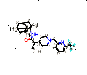 CCC(C(=O)NC1[C@H]2CC3C[C@H](C2)C[C@H]1C3)C1CCN(Cc2cccc(C(F)(F)F)n2)CC1